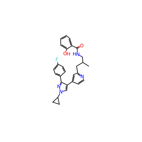 CC(CNC(=O)c1ccccc1O)Cc1cc(-c2cn(C3CC3)nc2-c2ccc(F)cc2)ccn1